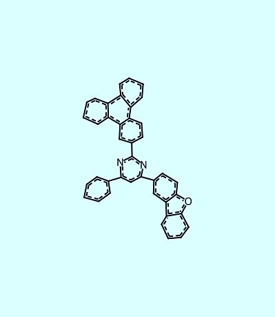 c1ccc(-c2cc(-c3ccc4oc5ccccc5c4c3)nc(-c3ccc4c5ccccc5c5ccccc5c4c3)n2)cc1